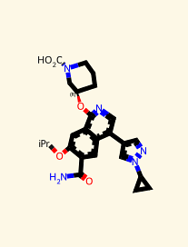 CC(C)Oc1cc2c(O[C@@H]3CCCN(C(=O)O)C3)ncc(-c3cnn(C4CC4)c3)c2cc1C(N)=O